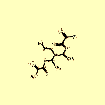 C=C(C)C(=O)OC(C)N(CCO)C(C)OC(=O)C(=C)C